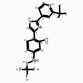 CC(C)(C)c1cc(-c2nc(-c3ccc(NSC(F)(F)F)cc3Cl)cs2)ccn1